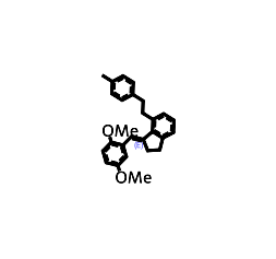 COc1ccc(OC)c(/C=C2\CCc3cccc(CCc4ccc(C)cc4)c32)c1